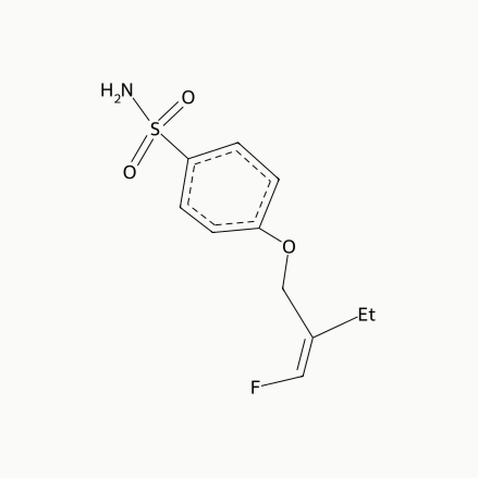 CC/C(=C/F)COc1ccc(S(N)(=O)=O)cc1